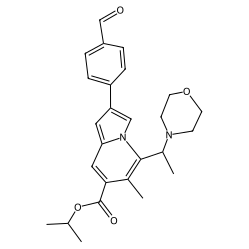 Cc1c(C(=O)OC(C)C)cc2cc(-c3ccc(C=O)cc3)cn2c1C(C)N1CCOCC1